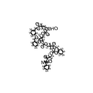 COCC(C)(COC(=O)OCC(C)(COC(=O)OCC(C)(COC(=O)OCC(C)(COC=O)C(=O)OCc1ccccc1)C(=O)OCc1ccccc1)C(=O)OCc1ccccc1)C(=O)OCc1ccccc1